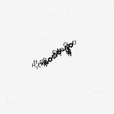 CCC(C)n1ncn(-c2ccc(N3CCN(c4ccc(OCC5COC(Cn6cncn6)(c6ccc(Cl)cc6Cl)O5)nc4)C(C)C3)cc2)c1=O